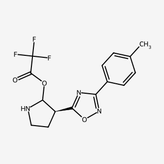 Cc1ccc(-c2noc([C@H]3CCNC3OC(=O)C(F)(F)F)n2)cc1